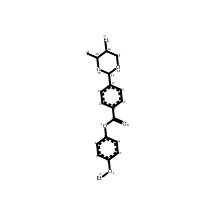 CCOc1ccc(OC(=O)c2ccc(C3OCC(CC)C(C)O3)cc2)cc1